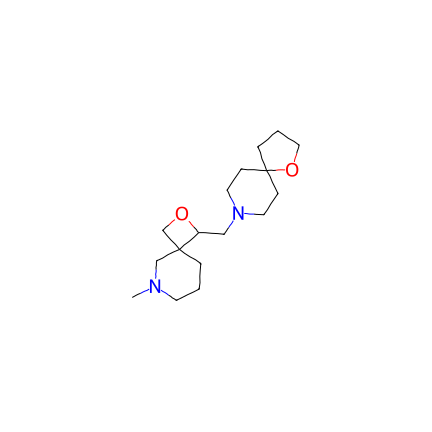 CN1CCCC2(COC2CN2CCC3(CCCO3)CC2)C1